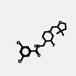 CC1(C)CCOC1CN1CCC(CNC(=O)c2cc(Cl)cc(Cl)c2)C(F)C1